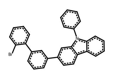 Brc1ccccc1-c1cccc(-c2ccc3c4ccccc4n(-c4ccccc4)c3c2)c1